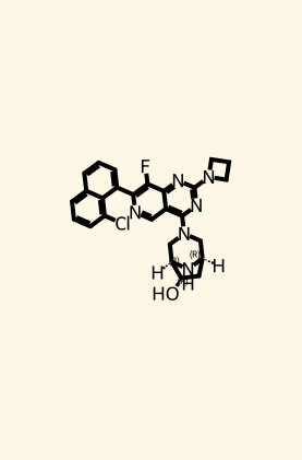 O[C@@H]1C[C@@H]2CN(c3nc(N4CCC4)nc4c(F)c(-c5cccc6cccc(Cl)c56)ncc34)C[C@H]1N2